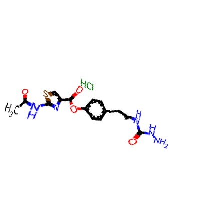 CC(=O)Nc1nc(C(=O)Oc2ccc(CCNC(=O)NN)cc2)cs1.Cl